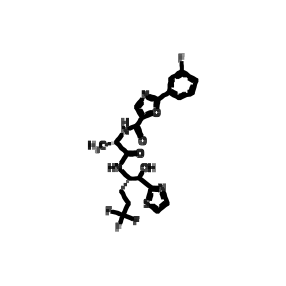 C[C@H](NC(=O)c1cnc(-c2cccc(F)c2)o1)C(=O)N[C@@H](CCC(F)(F)F)C(O)c1nccs1